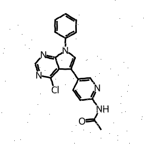 CC(=O)Nc1ccc(-c2cn(-c3ccccc3)c3ncnc(Cl)c23)cn1